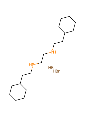 Br.Br.C1CCC(CCPCCPCCC2CCCCC2)CC1